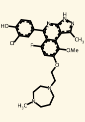 COc1c(OCCN2CCCN(C)CC2)cc(F)c2c(-c3ccc(O)c(Cl)c3)nc3[nH]nc(C)c3c12